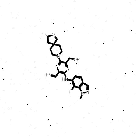 C[C@H]1CC2(CCN(c3nc(C=N)c(Nc4ccc5cnn(C)c5c4F)nc3CO)CC2)CO1